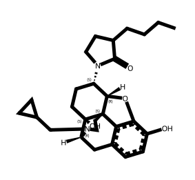 CCCCC1CCN([C@H]2CC[C@@]3(O)[C@H]4Cc5ccc(O)c6c5[C@@]3(CCN4CC3CC3)[C@H]2O6)C1=O